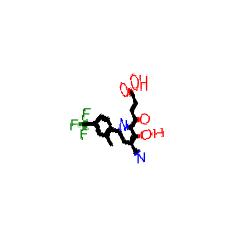 Cc1cc(C(F)(F)F)ccc1-c1cc(C#N)c(O)c(C(=O)CCC(=O)O)n1